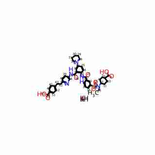 CCN(C1CCC(C(=O)O)CC1)S(=O)(=O)c1cccc(C(=O)Nc2ccc(N3CCCCC3)cc2C(=O)Nc2ccc(CCc3ccc(C(=O)O)cc3)nc2)c1.[KH].[KH]